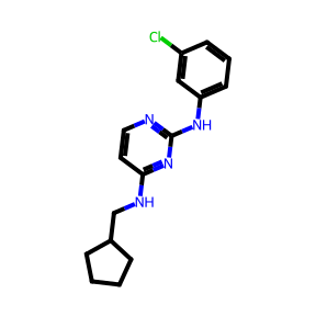 Clc1cccc(Nc2nccc(NCC3CCCC3)n2)c1